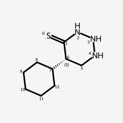 S=C1NNNC[C@@H]1C1CCCCC1